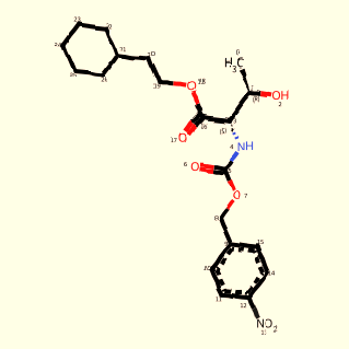 C[C@@H](O)[C@H](NC(=O)OCc1ccc([N+](=O)[O-])cc1)C(=O)OCCC1CCCCC1